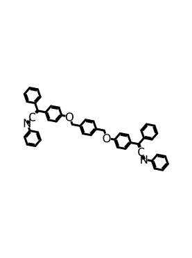 C(=Nc1ccccc1)=C(c1ccccc1)c1ccc(OCc2ccc(COc3ccc(C(=C=Nc4ccccc4)c4ccccc4)cc3)cc2)cc1